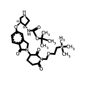 CC(C)(C)OC(=O)N[C@H]1CNC[C@@H]1Oc1ccc2c(c1)CN(C1CCC(=O)N(COCCS(C)(C)C)C1=O)C2=O